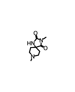 CN1CCC2(CC1)NC(=O)N(C)C2=O